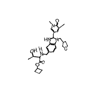 Cc1cc(C2Nc3cc(CNC(C(=O)OC4CCC4)[C@@H](C)O)ccc3N2CC2CCOC2)cn(C)c1=O